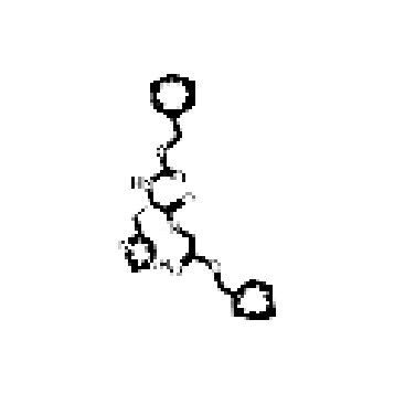 O=C(CNC(=O)[C@H](Cc1c[nH]cn1)NC(=O)OCc1ccccc1)OCc1ccccc1